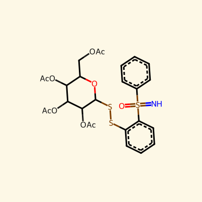 CC(=O)OCC1OC(SSc2ccccc2S(=N)(=O)c2ccccc2)C(OC(C)=O)C(OC(C)=O)C1OC(C)=O